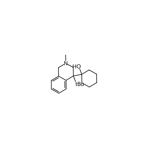 CN1Cc2ccccc2C(C(C)(C)C)(C2(O)CCCCC2)C1